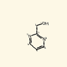 O[CH]c1ncccn1